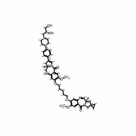 COc1cc2c(cc1OCCCCCOc1cc3c(cc1OC)C(=O)N1C=C(c4ccc(N5CCN(C[C@H](O)CO)CC5)cc4)C[C@H]1CN3)N=C[C@@H]1CC3(CC3)CN1C2=O